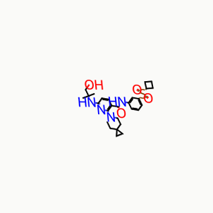 CC(C)(CO)Nc1ccc(C(=O)Nc2cccc(S(=O)(=O)C3CCC3)c2)c(N2CCC3(CC2)CC3)n1